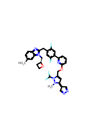 CN1C(=C2C=NN=C2)C=C(COc2cccc(-c3cc(F)c(Cc4nc5ccc(C(=O)O)cc5n4C[C@@H]4CCO4)cc3F)n2)N1C(F)F